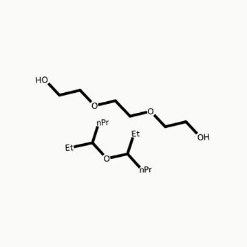 CCCC(CC)OC(CC)CCC.OCCOCCOCCO